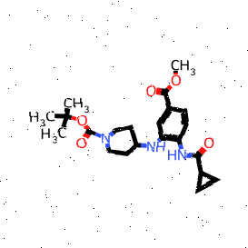 COC(=O)c1ccc(NC(=O)C2CC2)c(NC2CCN(C(=O)OC(C)(C)C)CC2)c1